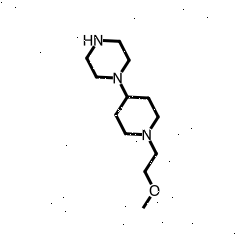 COCCN1CCC(N2CCNCC2)CC1